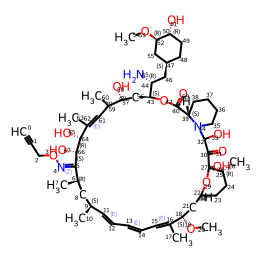 C#CCO/N=C1/[C@H](C)C[C@H](C)/C=C/C=C/C=C(\C)[C@@H](OC)C[C@@H]2CC[C@@H](C)[C@@](O)(O2)C(=O)C(O)N2CCCC[C@H]2C(=O)O[C@H]([C@H](N)C[C@@H]2CC[C@@H](O)[C@H](OC)C2)C[C@@H](O)[C@H](C)/C=C(\C)[C@@H](O)[C@H]1O